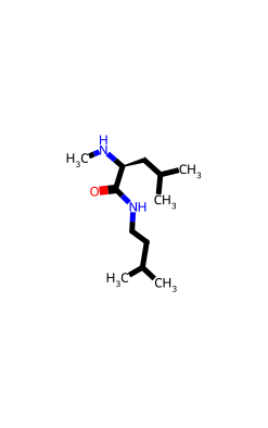 CN[C@@H](CC(C)C)C(=O)NCCC(C)C